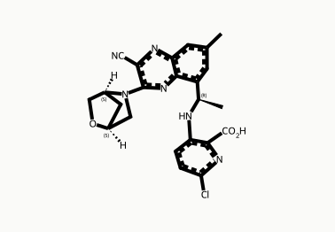 Cc1cc([C@@H](C)Nc2ccc(Cl)nc2C(=O)O)c2nc(N3C[C@@H]4C[C@H]3CO4)c(C#N)nc2c1